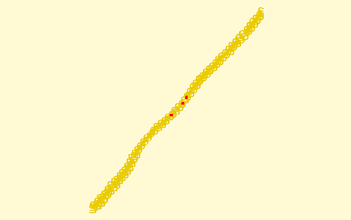 S=S=S=S=S=S=S=S=S=S=S=S=S=S=S=S=S=S=S=S=S=S=S=S=S=S=S=S=S=S=S=S=S=S=S=S=S=S=S=S=S=S=S=S=S=S=S=S=S=S=S=S=S=S=S=S=S=S=S=S=S=S=S=S=S=S=S=S=S=S=S=S=S=S=S=S=S=S=S=S=S=S=S=S=S=S=S=S=S=S=S=S=S=S=S=S=S=S=S=S=S=S=S=S=S=S=S=S